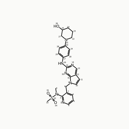 CN(c1ncccc1Cn1ccc2cnc(Nc3ccc(N4CCCC(O)C4)cc3)nc21)S(C)(=O)=O